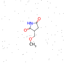 COCC1CC(=O)NC1=O